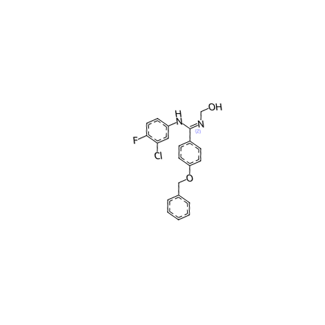 OC/N=C(\Nc1ccc(F)c(Cl)c1)c1ccc(OCc2ccccc2)cc1